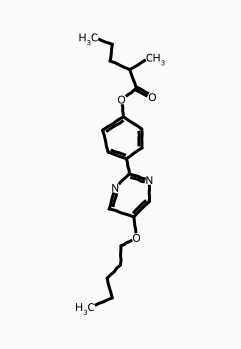 CCCCCOc1cnc(-c2ccc(OC(=O)C(C)CCC)cc2)nc1